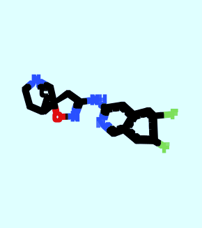 Fc1cc2cnc(NC3=NO[C@@]4(C3)CN3CCC4CC3)cc2cc1F